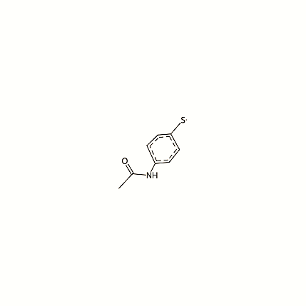 CC(=O)Nc1ccc([S])cc1